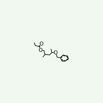 CCC(=O)OCC(C)CC(C)OCc1ccccc1